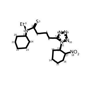 CCN(C(=S)CCCc1nnnn1C1CCCCC1[N+](=O)[O-])C1CCCCC1